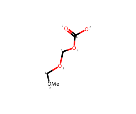 COCOCOC([O])=O